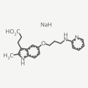 Cc1[nH]c2ccc(OCCCNc3ccccn3)cc2c1CCC(=O)O.[NaH]